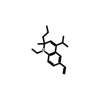 C=Cc1ccc2c(c1)C(C(C)C)=CC(C)(CCC)N2CC